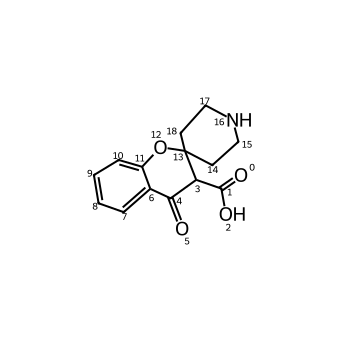 O=C(O)C1C(=O)c2ccccc2OC12CCNCC2